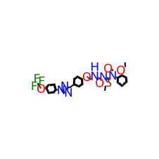 CCOc1ccccc1N(C=O)/C(=N/C(=O)NCOc1ccc(-c2ncn(-c3ccc(OC(F)(F)F)cc3)n2)cc1)SCC